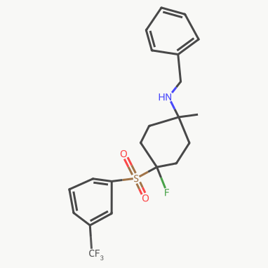 CC1(NCc2ccccc2)CCC(F)(S(=O)(=O)c2cccc(C(F)(F)F)c2)CC1